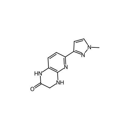 Cn1ccc(-c2ccc3c(n2)NCC(=O)N3)n1